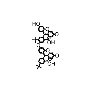 CC(C)(C)c1ccc(-c2c3ccc(=O)cc-3oc3cc(Oc4cc(C(=O)O)c(-c5c6ccc(=O)cc-6oc6cc(O)ccc56)cc4C(C)(C)C)ccc23)c(C(=O)O)c1